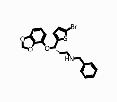 Brc1ccc([C@H](CCNCc2ccccc2)Oc2cccc3c2OCO3)s1